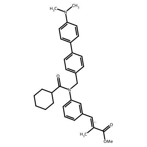 COC(=O)/C(C)=C/c1cccc(N(Cc2ccc(-c3ccc(N(C)C)cc3)cc2)C(=O)C2CCCCC2)c1